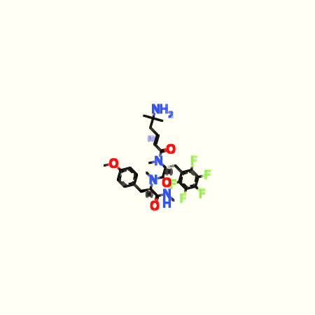 CNC(=O)[C@@H](Cc1ccc(OC)cc1)N(C)C(=O)[C@@H](Cc1c(F)c(F)c(F)c(F)c1F)N(C)C(=O)/C=C/CC(C)(C)N